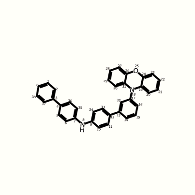 c1ccc(-c2ccc(Nc3ccc(-c4cccc(N5c6ccccc6Oc6ccccc65)c4)cc3)cc2)cc1